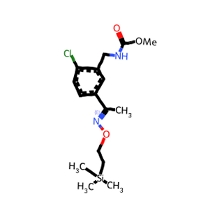 COC(=O)NCc1cc(/C(C)=N/OCC[Si](C)(C)C)ccc1Cl